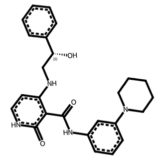 O=C(Nc1cccc(N2CCCCC2)c1)c1c(NC[C@@H](O)c2ccccc2)cc[nH]c1=O